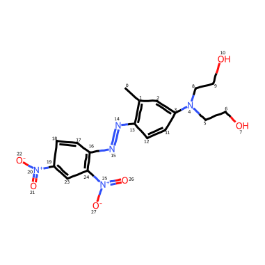 Cc1cc(N(CCO)CCO)ccc1/N=N/c1ccc([N+](=O)[O-])cc1[N+](=O)[O-]